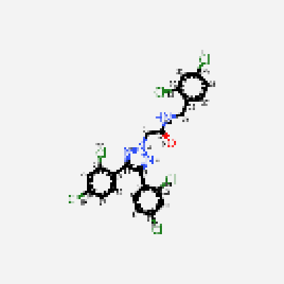 O=C(Cn1nc(-c2ccc(Cl)cc2Cl)c(-c2ccc(Cl)cc2Cl)n1)NCc1ccc(Cl)cc1Cl